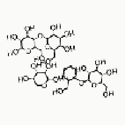 OC1OC[C@@H](O)[C@H](O)[C@H]1O.OC[C@H]1O[C@@H](O[C@H]2[C@H](O)[C@@H](O)[C@H](O)O[C@@H]2CO)[C@H](O)[C@@H](O)[C@H]1O.OCc1ccccc1O[C@@H]1O[C@H](CO)[C@@H](O)[C@H](O)[C@H]1O